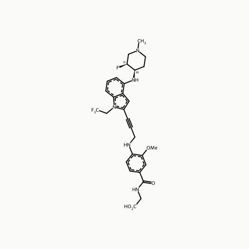 COc1cc(C(=O)NCC(=O)O)ccc1NCC#Cc1cc2c(N[C@@H]3CCN(C)C[C@@H]3F)cccc2n1CC(F)(F)F